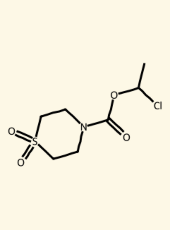 CC(Cl)OC(=O)N1CCS(=O)(=O)CC1